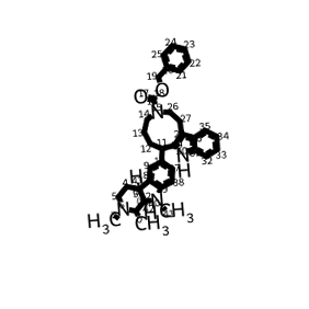 CC1[C@@H]2[C@@H](CCN1C)c1cc(C3CCCN(C(=O)OCc4ccccc4)CCc4c3[nH]c3ccccc43)ccc1N2C